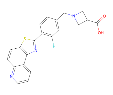 O=C(O)C1CN(Cc2ccc(-c3nc4c(ccc5ncccc54)s3)c(F)c2)C1